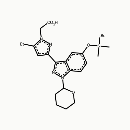 CCc1cc(-c2nn(C3CCCCO3)c3ccc(O[Si](C)(C)C(C)(C)C)cc23)nn1CC(=O)O